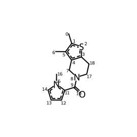 Cc1sc2c(c1C)CN(C(=O)c1cccn1C)CC2